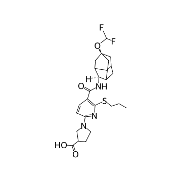 CCCSc1nc(N2CCC(C(=O)O)C2)ccc1C(=O)N[C@H]1C2CC3CC1C[C@@](OC(F)F)(C3)C2